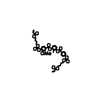 C=CC(=O)OCCCCOC(=O)Oc1ccc(C(=O)Oc2cccc(OC(=O)c3ccc(OC(=O)OCCCCOC(=O)C=C)c(OC)c3)c2C)cc1